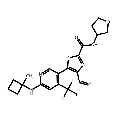 CC1(Nc2cc(C(F)(F)F)c(-c3sc(C(=O)NC4CCOC4)nc3C=O)cn2)CCC1